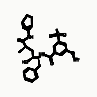 CCCOc1cc(C(=O)N[C@@H](Cc2ccccc2)[C@@H](O)C[C@@H](C)C(=O)NC2CC3CCC2C3)cc(S(C)(=O)=O)c1